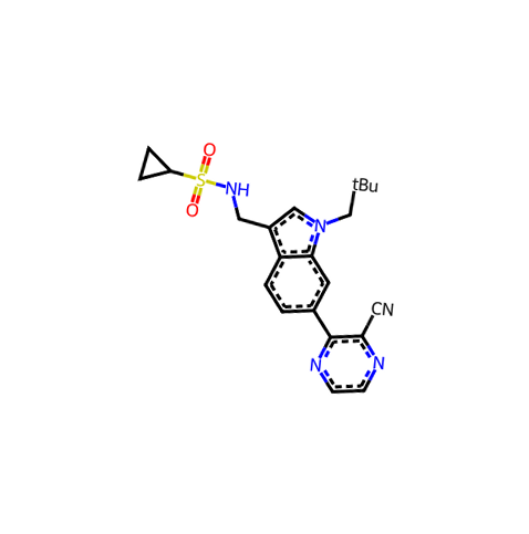 CC(C)(C)Cn1cc(CNS(=O)(=O)C2CC2)c2ccc(-c3nccnc3C#N)cc21